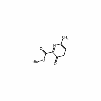 CC1=CCC(=O)C(C(=O)OC(C)(C)C)=N1